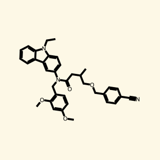 CCn1c2ccccc2c2cc(N(Cc3ccc(OC)cc3OC)C(=O)CC(C)COCc3ccc(C#N)cc3)ccc21